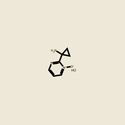 Cl.NC1(c2nccc[n+]2[O-])CC1